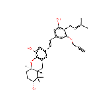 C#CCOc1cc(/C=C/c2cc(O)c3c(c2)C[C@@H]2C(C)(C)[C@H](O)CC[C@@]2(C)O3)cc(O)c1CC=C(C)C